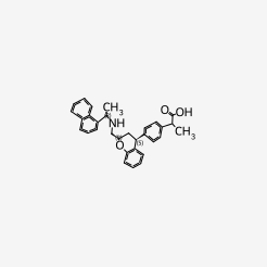 CC(C(=O)O)c1ccc([C@@H]2C[C@H](CN[C@H](C)c3cccc4ccccc34)Oc3ccccc32)cc1